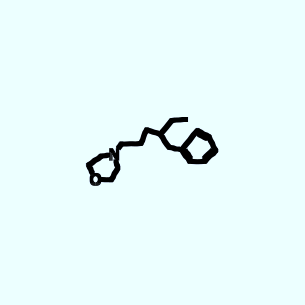 CCC(CCCN1CCOCC1)Cc1ccccc1